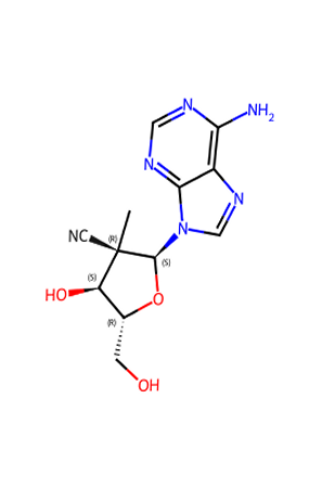 C[C@@]1(C#N)[C@H](O)[C@@H](CO)O[C@@H]1n1cnc2c(N)ncnc21